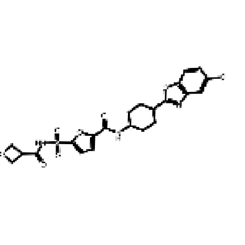 O=C(NC1CCC(c2nc3cc(Cl)ccc3o2)CC1)c1ccc(S(=O)(=O)NC(=O)C2COC2)o1